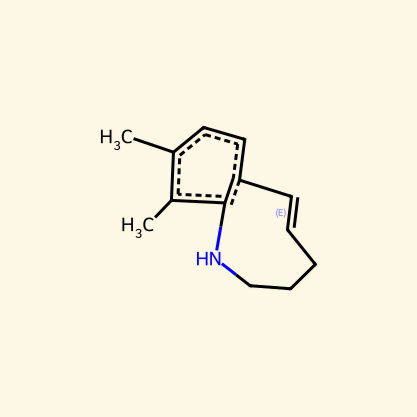 Cc1ccc2c(c1C)NCCC/C=C/2